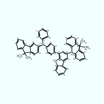 CC1(C)c2ccccc2-c2cc(N(c3ccccc3)c3ccc(-c4cc(N5c6ccccc6C(C)(C)c6ccccc65)cc5c4oc4ccccc45)cc3)ccc21